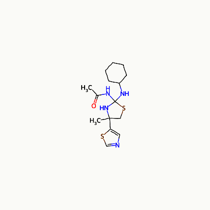 CC(=O)NC1(NC2CCCCC2)NC(C)(c2cncs2)CS1